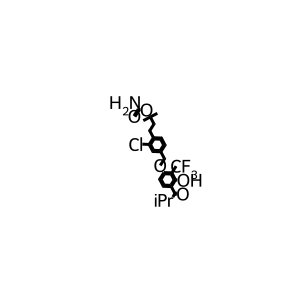 CC(C)C(=O)c1ccc(OCc2ccc(CCC(C)(C)OC(N)=O)c(Cl)c2)c(C(F)(F)F)c1O